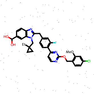 CCC1(Cn2c(Cc3ccc(-c4ccnc(OCc5ccc(Cl)cc5OC)n4)c(F)c3)nc3ccc(C(O)O)cc32)CC1